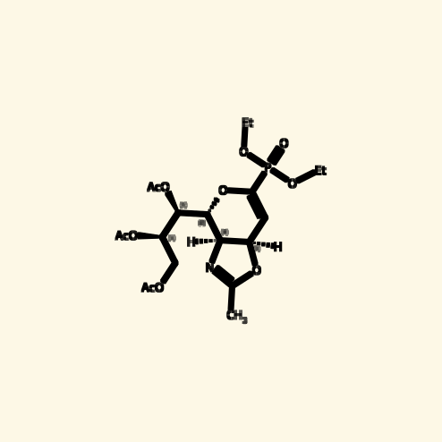 CCOP(=O)(OCC)C1=C[C@H]2OC(C)=N[C@H]2[C@H]([C@H](OC(C)=O)[C@@H](COC(C)=O)OC(C)=O)O1